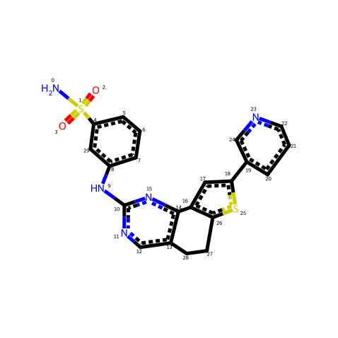 NS(=O)(=O)c1cccc(Nc2ncc3c(n2)-c2cc(-c4cccnc4)sc2CC3)c1